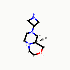 C1CN2CCN(C3CNC3)C[C@H]2CO1